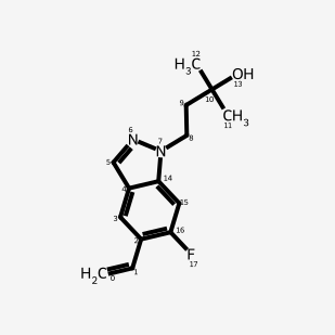 C=Cc1cc2cnn(CCC(C)(C)O)c2cc1F